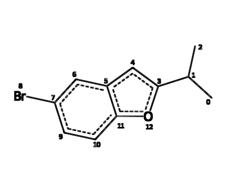 CC(C)c1cc2cc(Br)ccc2o1